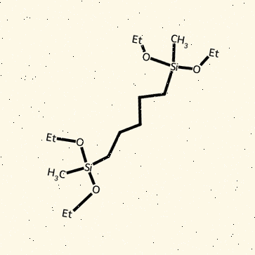 CCO[Si](C)(CCCCC[Si](C)(OCC)OCC)OCC